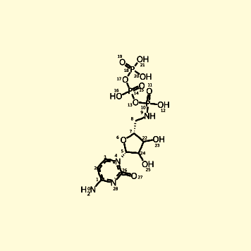 Nc1ccn([C@@H]2O[C@H](CNP(=O)(O)OP(=O)(O)OP(=O)(O)O)C(O)C2O)c(=O)n1